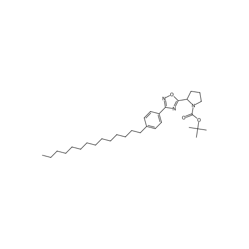 CCCCCCCCCCCCCCc1ccc(-c2noc(C3CCCN3C(=O)OC(C)(C)C)n2)cc1